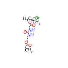 C=CC(=O)OCCNC(=O)NCC(=O)OC(C)(C)CBr